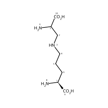 NC(CNCCC[C@H](N)C(=O)O)C(=O)O